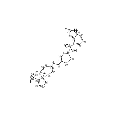 Cn1cc2c(C(=O)N[C@H]3CC[C@H](CCN4CCC5(c6nocc6C(C)(F)F)CC5C4)CC3)cccc2n1